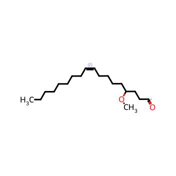 CCCCCCCC/C=C\CCCCC(CC[C]=O)OC